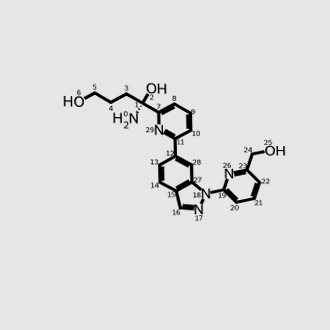 N[C@@](O)(CCCO)c1cccc(-c2ccc3cnn(-c4cccc(CO)n4)c3c2)n1